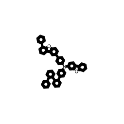 c1ccc(-c2ccccc2-c2ccccc2-c2ccc(N(c3ccc(-c4ccc5oc6c(-c7ccccc7)cccc6c5c4)cc3)c3ccc4c(c3)oc3ccccc34)cc2)cc1